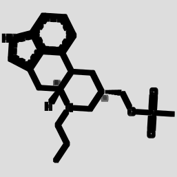 CCCN1C[C@@H](COS(C)(=O)=O)CC2c3cccc4[nH]cc(c34)C[C@H]21